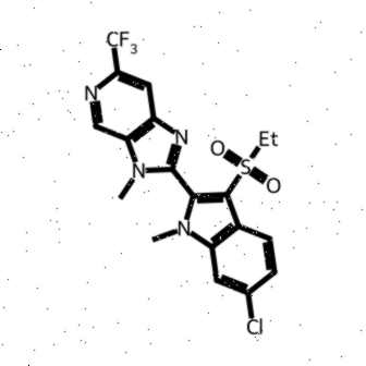 CCS(=O)(=O)c1c(-c2nc3cc(C(F)(F)F)ncc3n2C)n(C)c2cc(Cl)ccc12